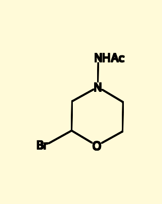 CC(=O)NN1CCOC(Br)C1